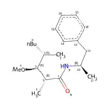 CCCC[C@H](C)[C@H](OC)[C@@H](C)C(=O)N[C@H](C)Cc1ccccc1